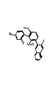 CSc1ccc(-c2cc3ccccc3cc2F)c(SC)c1-c1ccc(Br)cc1F